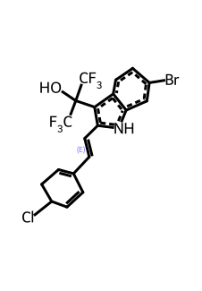 OC(c1c(/C=C/C2=CCC(Cl)C=C2)[nH]c2cc(Br)ccc12)(C(F)(F)F)C(F)(F)F